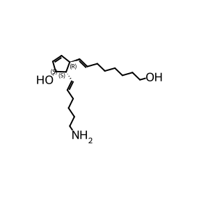 NCCCCC=C[C@H]1[C@H](C=CCCCCCCO)C=C[C@H]1O